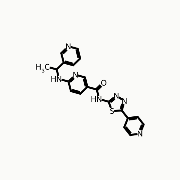 CC(Nc1ccc(C(=O)Nc2nnc(-c3ccncc3)s2)cn1)c1cccnc1